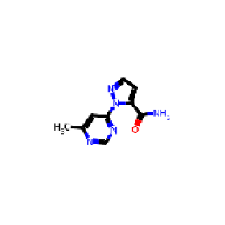 Cc1cc(-n2nccc2C(N)=O)ncn1